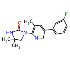 Cc1cc(-c2cccc(F)c2)cnc1N1CC(C)(C)NC1=O